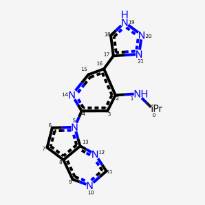 CC(C)Nc1cc(-n2ccc3cncnc32)ncc1-c1c[nH]nn1